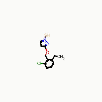 CCc1cccc(Cl)c1COc1ccn(S)n1